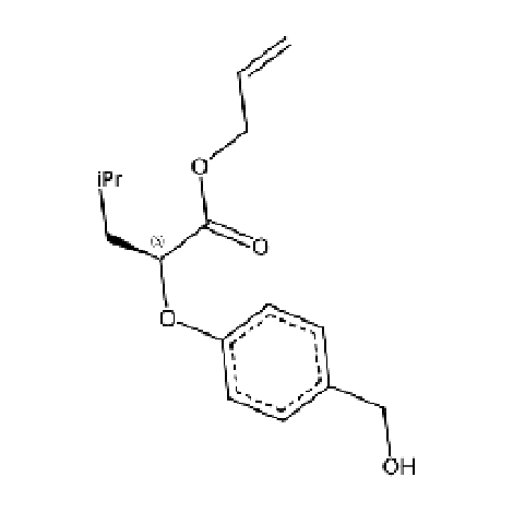 C=CCOC(=O)[C@H](CC(C)C)Oc1ccc(CO)cc1